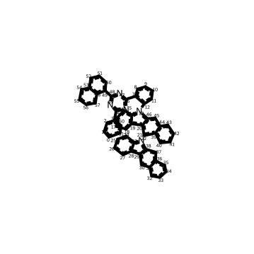 c1ccc(-c2nc(-c3ccccc3-n3c4ccccc4c4c(-n5c6ccccc6c6cc7ccccc7cc65)c5ccccc5cc43)nc(-c3cccc4ccccc34)n2)cc1